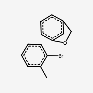 Cc1ccccc1Br.c1cc2cc(c1)OC2